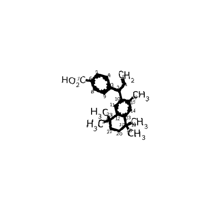 C=CC(c1ccc(C(=O)O)cc1)c1cc2c(cc1C)C(C)(C)CCC2(C)C